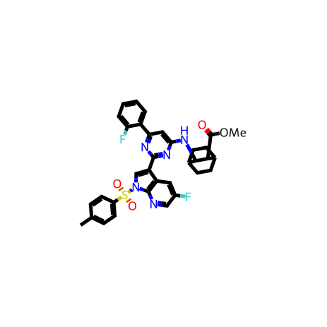 COC(=O)C1C2CCC(CC2)C1Nc1cc(-c2ccccc2F)nc(-c2cn(S(=O)(=O)c3ccc(C)cc3)c3ncc(F)cc23)n1